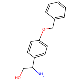 NC(CO)c1ccc(OCc2ccccc2)cc1